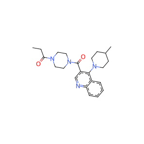 CCC(=O)N1CCN(C(=O)c2cnc3ccccc3c2N2CCC(C)CC2)CC1